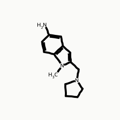 Cn1c(CN2CCCC2)cc2cc(N)ccc21